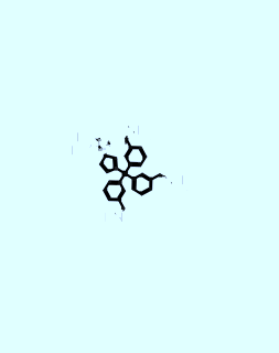 C[Si](C)(C)[C]1C=CC(C(c2cccc(CN)c2)(c2cccc(CN)c2)c2cccc(CN)c2)=C1